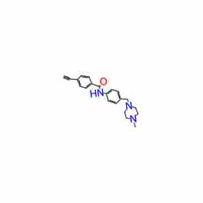 C#Cc1ccc(C(=O)Nc2ccc(CN3CCN(C)CC3)cc2)cc1